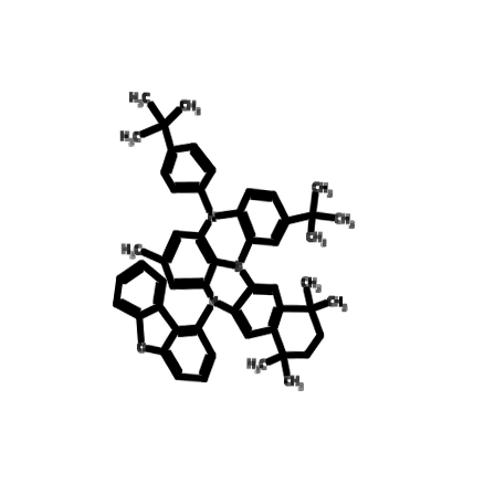 Cc1cc2c3c(c1)N(c1cccc4oc5ccccc5c14)c1cc4c(cc1B3c1cc(C(C)(C)C)ccc1N2c1ccc(C(C)(C)C)cc1)C(C)(C)CCC4(C)C